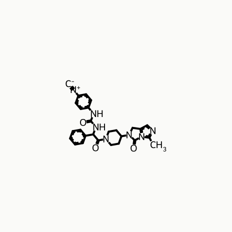 [C-]#[N+]c1ccc(NC(=O)NC(C(=O)N2CCC(N3Cc4cnc(C)n4C3=O)CC2)c2ccccc2)cc1